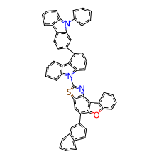 c1ccc(-n2c3ccccc3c3ccc(-c4cccc5c4c4ccccc4n5-c4nc5c(cc(-c6ccc7ccccc7c6)c6oc7ccccc7c65)s4)cc32)cc1